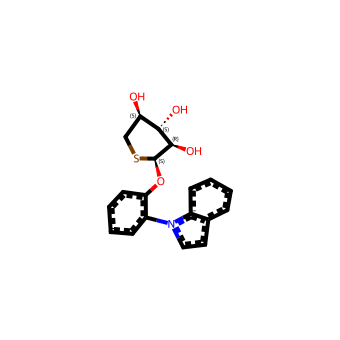 O[C@@H]1[C@@H](O)[C@@H](Oc2ccccc2-n2ccc3ccccc32)SC[C@H]1O